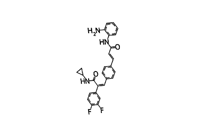 Nc1ccccc1NC(=O)/C=C/c1ccc(C=C(C(=O)NC2CC2)c2ccc(F)c(F)c2)cc1